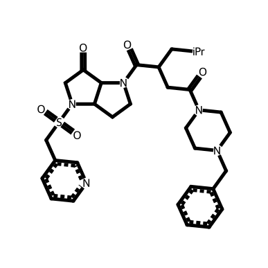 CC(C)CC(CC(=O)N1CCN(Cc2ccccc2)CC1)C(=O)N1CCC2C1C(=O)CN2S(=O)(=O)Cc1cccnc1